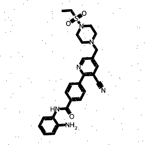 CCS(=O)(=O)N1CCN(Cc2cnc(-c3ccc(C(=O)Nc4ccccc4N)cc3)c(C#N)c2)CC1